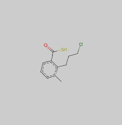 Cc1cccc(C(=O)S)c1CCCCl